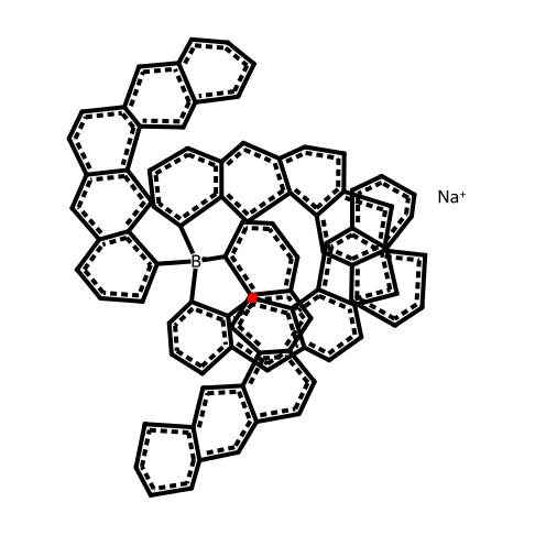 [Na+].c1ccc2cc3c(ccc4cc5cccc([B-](c6cccc7cc8ccc9cc%10ccccc%10cc9c8cc67)(c6cccc7cc8ccc9cc%10ccccc%10cc9c8cc67)c6cccc7cc8ccc9cc%10ccccc%10cc9c8cc67)c5cc43)cc2c1